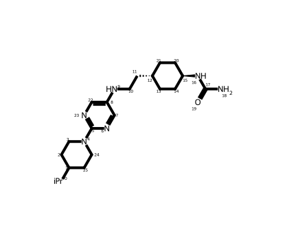 CC(C)C1CCN(c2ncc(NCC[C@H]3CC[C@H](NC(N)=O)CC3)cn2)CC1